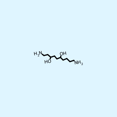 NCCCCC(O)CCC(O)CCN